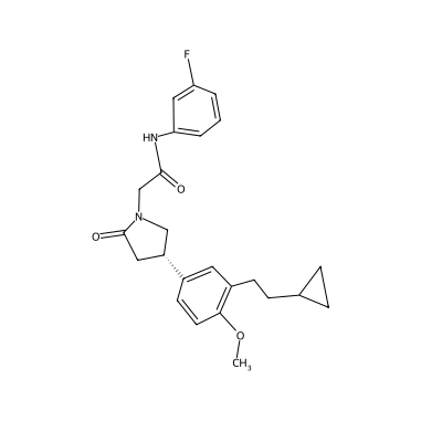 COc1ccc([C@@H]2CC(=O)N(CC(=O)Nc3cccc(F)c3)C2)cc1CCC1CC1